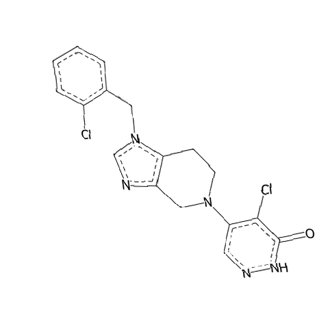 O=c1[nH]ncc(N2CCc3c(ncn3Cc3ccccc3Cl)C2)c1Cl